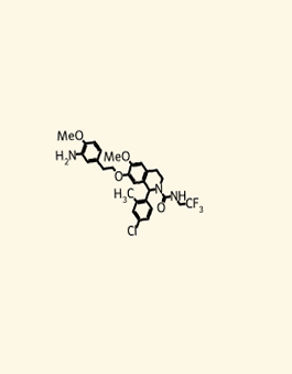 COc1ccc(CCOc2cc3c(cc2OC)CCN(C(=O)NCC(F)(F)F)C3c2ccc(Cl)cc2C)cc1N